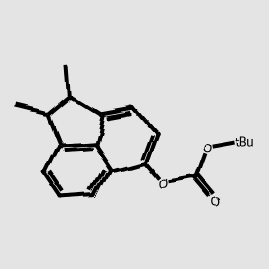 CC1c2cccc3c(OC(=O)OC(C)(C)C)ccc(c23)C1C